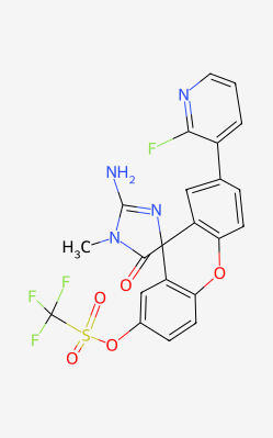 CN1C(=O)C2(N=C1N)c1cc(OS(=O)(=O)C(F)(F)F)ccc1Oc1ccc(-c3cccnc3F)cc12